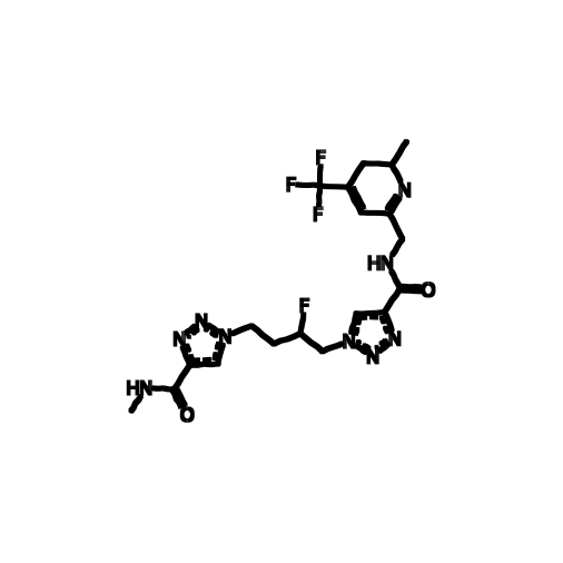 CNC(=O)c1cn(CCC(F)Cn2cc(C(=O)NCC3=NC(C)CC(C(F)(F)F)=C3)nn2)nn1